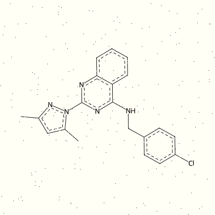 Cc1cc(C)n(-c2nc(NCc3ccc(Cl)cc3)c3ccccc3n2)n1